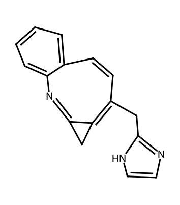 C1=Cc2ccccc2N=C2CC2=C1Cc1ncc[nH]1